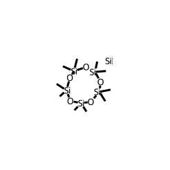 C[Si]1(C)O[Si](C)(C)O[Si](C)(C)O[Si](C)(C)O[Si](C)(C)O1.[Si]